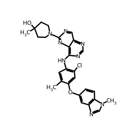 Cc1cc(Nc2ncnc3cnc(N4CCC(C)(O)CC4)nc23)c(Cl)cc1Oc1ccc2c(c1)ncn2C